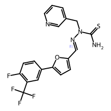 NC(=S)N(Cc1cccnc1)/N=C/c1ccc(-c2ccc(F)c(C(F)(F)F)c2)o1